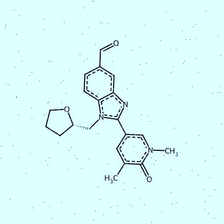 Cc1cc(-c2nc3cc(C=O)ccc3n2C[C@@H]2CCCO2)cn(C)c1=O